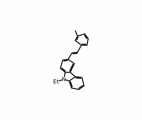 CCn1c2ccccc2c2cc(C=Cc3cccc(C)c3)ccc21